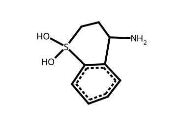 NC1CCS(O)(O)c2ccccc21